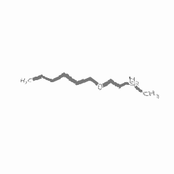 C=CCCCCOCC[SiH2]C